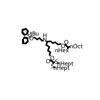 CCCCCCCCC(CCCCCC)C(=O)OCCCCCC(CCCCCOC(=O)C(SCCCCCCC)SCCCCCCC)NCCCCO[Si](c1ccccc1)(c1ccccc1)C(C)(C)C